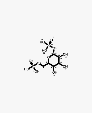 O=P(O)(O)OCC1O[C@@H](OP(=O)(O)O)[C@@H](O)C(O)[C@H]1O